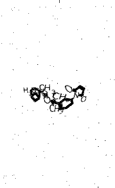 CC(C)(OOC1(C)CCC2CC1C2(C)C)c1cccc(N2C(=O)C=CC2=O)c1